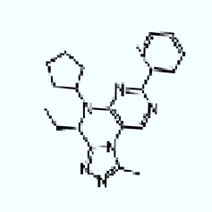 CC[C@@H]1c2nnc(C)n2-c2cnc(-c3ccccn3)nc2N1C1CCCC1